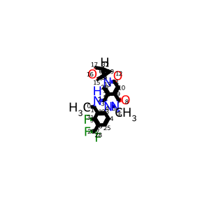 CC(Nc1nn(C)c(=O)c2cc(=O)n([C@]34COC[C@H]3C4)cc12)c1cccc(C(F)F)c1F